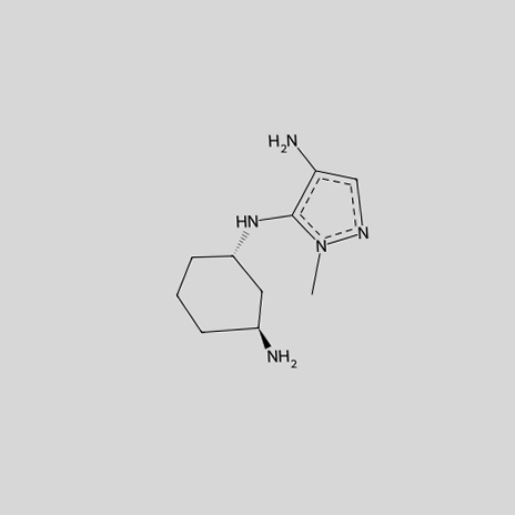 Cn1ncc(N)c1N[C@H]1CCC[C@H](N)C1